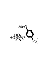 CC(=O)O.CC(=O)O.CC(=O)O.COc1cc[c]([Pb])cc1